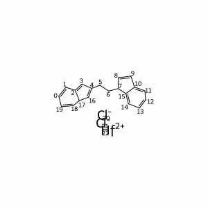 C1=CC2=CC(CCC3C=Cc4ccccc43)=CC2C=C1.[Cl-].[Cl-].[Hf+2]